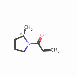 [CH2][C@@H]1CCCN1C(=O)C=C